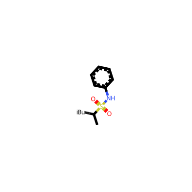 CCC(C)C(C)S(=O)(=O)Nc1ccccc1